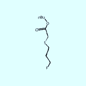 CCCCOC(=O)CSCCCF